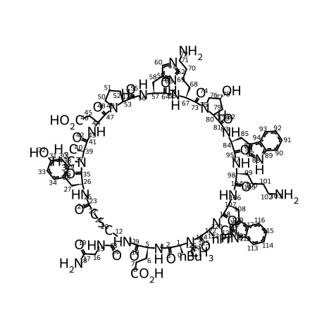 CCCC[C@H]1C(=O)N[C@@H](CCC(=O)O)C(=O)N[C@H](C(=O)NCC(N)=O)CSCC(=O)N[C@@H](Cc2ccc(O)cc2)C(=O)N(C)[C@@H](C)C(=O)NC(CC(=O)O)C(=O)N2CCC[C@H]2C(=O)N[C@@H](Cc2cnc[nH]2)C(=O)N[C@@H](CCCCN)C(=O)N2C[C@H](O)C[C@H]2C(=O)N[C@@H](Cc2c[nH]c3ccccc23)C(=O)N[C@@H](CCCCN)C(=O)N[C@@H](Cc2c[nH]c3ccccc23)C(=O)N(C)[C@@H](CCC)C(=O)N1C